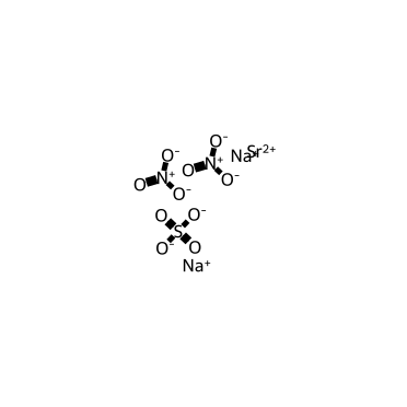 O=S(=O)([O-])[O-].O=[N+]([O-])[O-].O=[N+]([O-])[O-].[Na+].[Na+].[Sr+2]